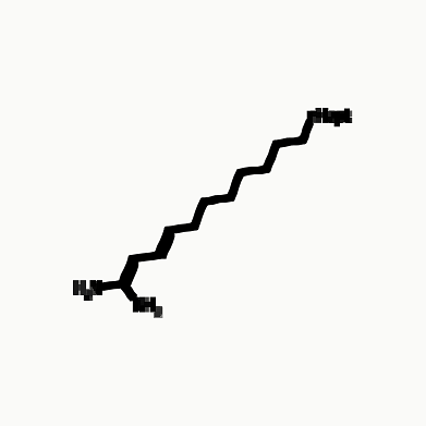 CCCCCCCCCCCCCCC=CC=C(N)N